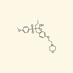 CCCC(Cc1ccc(OCCN2CCOCC2)cc1)(C(=O)O)S(=O)(=O)c1ccc(OC)cc1